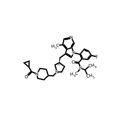 Cc1cncc2c1c(C[C@H]1CCN(CC3CCN(C(=O)C4CC4)CC3)C1)cn2-c1ccc(F)cc1C(=O)N(C)C(C)C